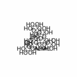 CC(=O)N[C@H]1[C@H](O[C@@H]2[C@@H](O)[C@@H](O[C@@H]3[C@H](O)[C@@H](O)[C@H](O[C@H]4[C@H](O)[C@@H](O)[C@H](O)O[C@@H]4CO)O[C@@H]3CO)O[C@H](CO)[C@@H]2O[C@@H]2O[C@H](CO)[C@H](O)[C@H](O[C@@H]3O[C@H](CO)[C@H](O)[C@H](O)[C@H]3O)[C@H]2NC(C)=O)O[C@H](CO)[C@H](O)[C@@H]1O